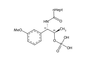 CCCCCCCC(=O)N[C@@H](c1cccc(OC)c1)[C@@H](C)OP(=O)(O)O